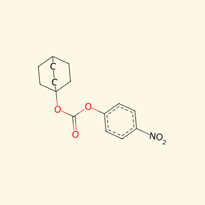 O=C(Oc1ccc([N+](=O)[O-])cc1)OC12CCC(CC1)CC2